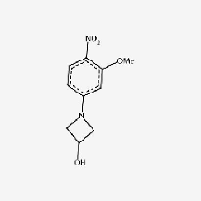 COc1cc(N2CC(O)C2)ccc1[N+](=O)[O-]